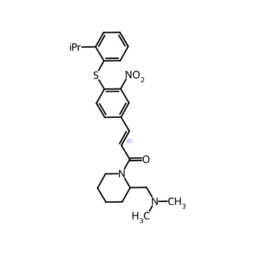 CC(C)c1ccccc1Sc1ccc(/C=C/C(=O)N2CCCCC2CN(C)C)cc1[N+](=O)[O-]